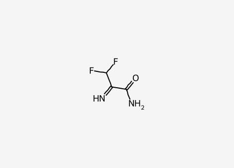 N=C(C(N)=O)C(F)F